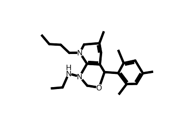 CCCCN1CC(C)=CC2=C1N(NCC)COC2c1c(C)cc(C)cc1C